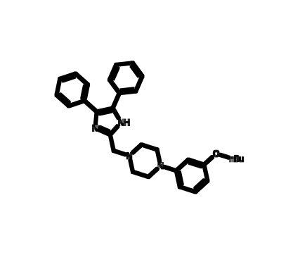 CCCCOc1cccc(N2CCN(Cc3nc(-c4ccccc4)c(-c4ccccc4)[nH]3)CC2)c1